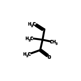 C=CC(C)(C)C(C)=O